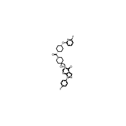 O=c1c2cnn(-c3ccc(F)cc3)c2ncn1CC1(O)CCN(C(=O)[C@H]2CC[C@@H](Oc3cccc(F)n3)CC2)CC1